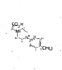 O=Cc1ccc(N2CCN(CC(=O)O)CC2)cc1